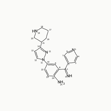 N=C(c1ccncc1)c1cc(-n2ccc(C3CCCNC3)n2)ccc1N